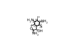 NC(=O)C(O)c1c(I)c(N)c(I)c(N)c1I